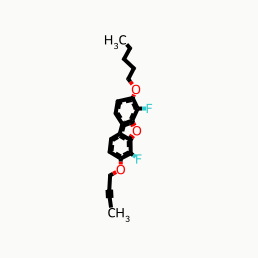 CC#CCOc1ccc2c(oc3c(F)c(OCCCCC)ccc32)c1F